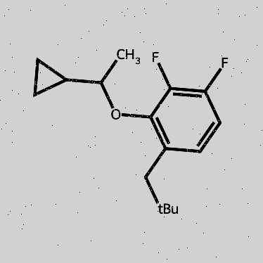 CC(Oc1c(CC(C)(C)C)ccc(F)c1F)C1CC1